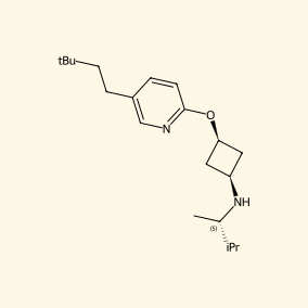 CC(C)[C@H](C)N[C@H]1C[C@@H](Oc2ccc(CCC(C)(C)C)cn2)C1